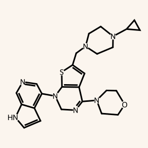 c1cc2c(N3CN=C(N4CCOCC4)c4cc(CN5CCN(C6CC6)CC5)sc43)cncc2[nH]1